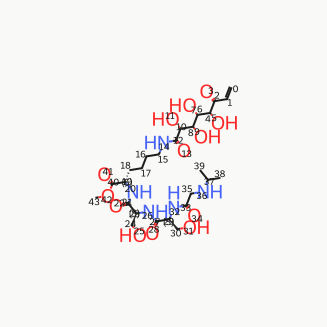 C=CC(=O)C(O)C(O)C(O)C(O)C(=O)NCCCC[C@H](NC(=O)[C@H](CO)NC(=O)[C@H](CO)NC(=O)CNC(C)C)C(=O)OC